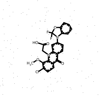 COc1c(Cl)ccc2c(=O)c3ccc(N4c5ccccc5OC4(F)F)cc3n(CC(=O)O)c12